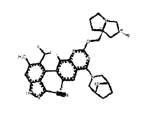 Cc1cc2[nH]nc(C#N)c2c(-c2c(F)cc3c(N4CC5CCC(C4)N5)nc(OC[C@@]45CCCN4C[C@H](F)C5)nc3c2F)c1C(F)F